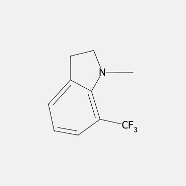 CN1CCc2cccc(C(F)(F)F)c21